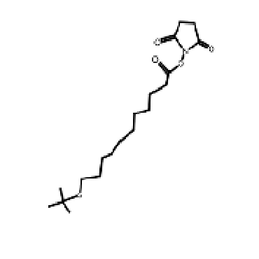 CC(C)(C)SCCCCCCCCCCC(=O)ON1C(=O)CCC1=O